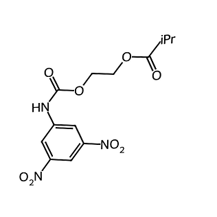 CC(C)C(=O)OCCOC(=O)Nc1cc([N+](=O)[O-])cc([N+](=O)[O-])c1